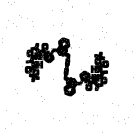 CC(NC(=O)OC(C)(C)C)C(=O)N[C@H](C(=O)N1CCC[C@H]1Cc1cn(CC#CC#CCn2cc(C[C@@H]3CCCN3C(=O)[C@@H](NC(=O)[C@H](C)NC(=O)OC(C)(C)C)C(C)C)c3ccccc32)c2ccccc12)C(C)C